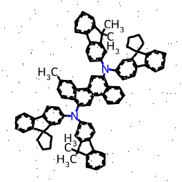 Cc1ccc2c(N(c3ccc4c(c3)C(C)(C)c3ccccc3-4)c3ccc4c(c3)C3(CCCC3)c3ccccc3-4)cc3c4ccccc4c(N(c4ccc5c(c4)C(C)(C)c4ccccc4-5)c4ccc5c(c4)C4(CCCC4)c4ccccc4-5)cc3c2c1